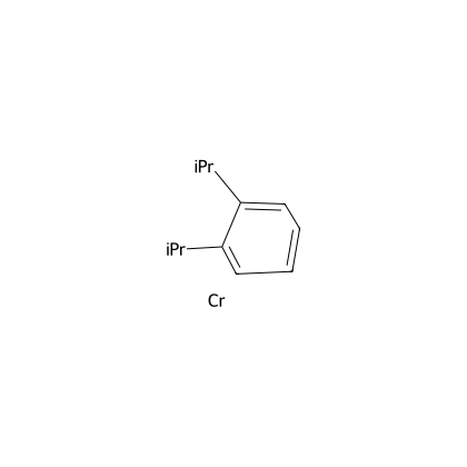 CC(C)c1ccccc1C(C)C.[Cr]